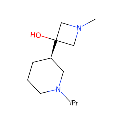 CC(C)N1CCC[C@@H](C2(O)CN(C)C2)C1